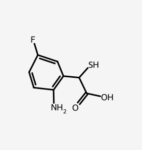 Nc1ccc(F)cc1C(S)C(=O)O